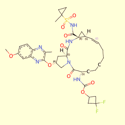 COc1ccc2nc(C)c(O[C@@H]3C[C@H]4C(=O)N[C@]5(C(=O)NS(=O)(=O)C6(C)CC6)C[C@H]5/C=C\CCCCC[C@H](NC(=O)OC5CC(F)(F)C5)C(=O)N4C3)nc2c1